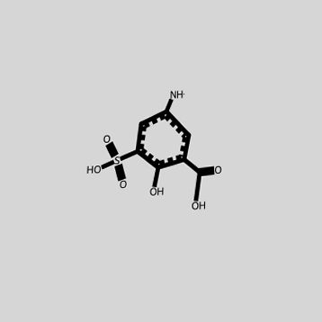 [NH]c1cc(C(=O)O)c(O)c(S(=O)(=O)O)c1